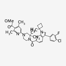 COC(=O)c1c(C)cc(N2CCN(C(=O)c3ccc4c(-c5ccc(Cl)c(F)c5)cn(C5(C)CCC5)c4n3)C(C)(C)C2)nc1C